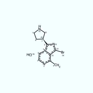 Cc1nccn2c([C@H]3CCNC3)nc(Br)c12.Cl